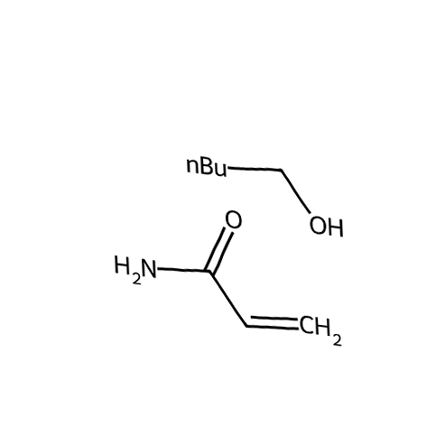 C=CC(N)=O.CCCCCO